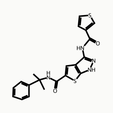 CC(C)(NC(=O)c1cc2c(NC(=O)c3ccsc3)n[nH]c2s1)c1ccccc1